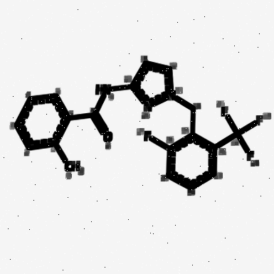 Cc1ccccc1C(=O)Nc1ccn(Cc2c(F)cccc2C(F)(F)F)n1